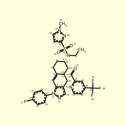 CCN([C@H]1CCC2=Cc3c(cnn3-c3ccc(F)cc3)C[C@]2(C(=O)c2cc(C(F)(F)F)ccn2)C1)S(=O)(=O)c1ccn(C)n1